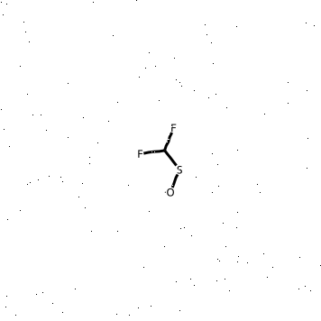 [O]SC(F)F